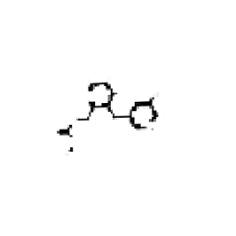 CC(C)(C)OC(=O)NCc1ncccc1Cc1cncc(C(=O)O)c1